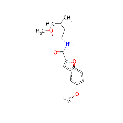 COCC(CC(C)C)NC(=O)c1cc2cc(OC)ccc2o1